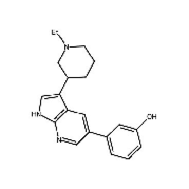 CCN1CCCC(c2c[nH]c3ncc(-c4cccc(O)c4)cc23)C1